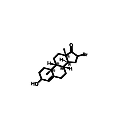 C[C@]12CCC(O)C=C1CC[C@@H]1[C@H]2CC[C@]2(C)C(=O)C(Br)C[C@@H]12